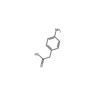 Nc1ccc(CC(=O)S)cc1